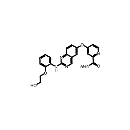 CNC(=O)c1cc(Oc2ccc3nc(Nc4ccccc4OCCO)ncc3c2)ccn1